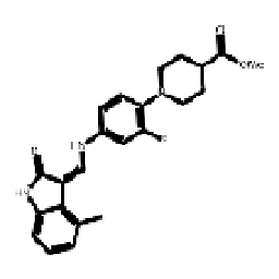 COC(=O)C1CCN(c2ccc(NC=C3C(=O)Nc4cccc(C)c43)cc2F)CC1